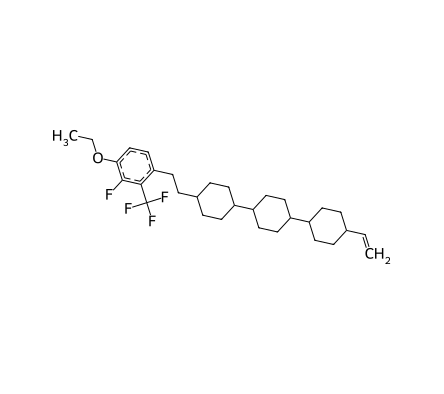 C=CC1CCC(C2CCC(C3CCC(CCc4ccc(OCC)c(F)c4C(F)(F)F)CC3)CC2)CC1